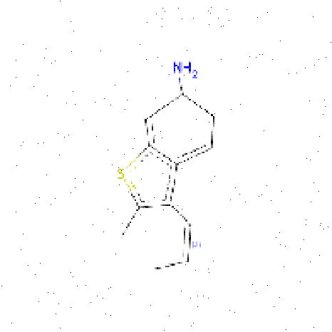 C/C=C\c1c(C)sc2c1=CCC(N)C=2